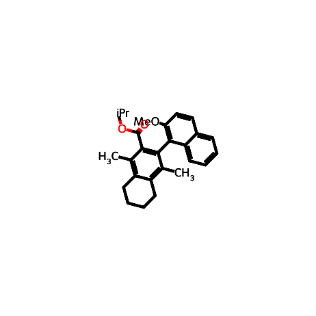 COc1ccc2ccccc2c1-c1c(C)c2c(c(C)c1C(=O)OC(C)C)CCCC2